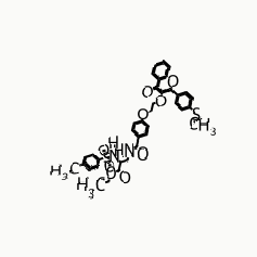 CCOC(=O)C(CNC(=O)c1ccc(OCCOc2c(-c3ccc(SC)cc3)oc3ccccc3c2=O)cc1)NS(=O)(=O)c1ccc(C)cc1